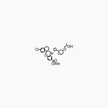 COC(=O)c1ccc2c(c1)N(C[C@@H]1CC[C@H]1[C@H]1C[C@H](OC[C@@H](C)O)CCO1)C[C@@]1(CCCc3cc(Cl)ccc31)CO2